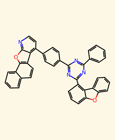 c1ccc(-c2nc(-c3ccc(-c4ccnc5oc6c7ccccc7ccc6c45)cc3)nc(-c3cccc4oc5ccccc5c34)n2)cc1